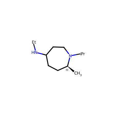 CCNC1CC[C@H](C)N(C(C)C)CC1